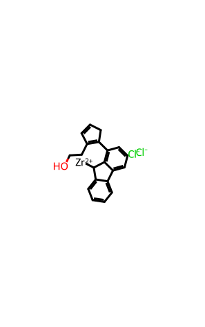 OCCC1=C(c2cccc3c2[CH]([Zr+2])c2ccccc2-3)CC=C1.[Cl-].[Cl-]